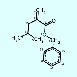 C=C(CC(C)C)C(=O)OC.c1ccccc1